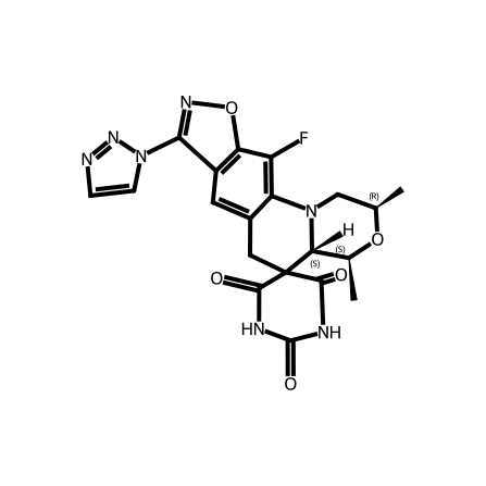 C[C@@H]1CN2c3c(cc4c(-n5ccnn5)noc4c3F)CC3(C(=O)NC(=O)NC3=O)[C@H]2[C@H](C)O1